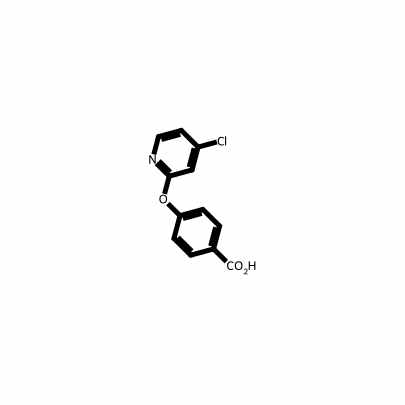 O=C(O)c1ccc(Oc2cc(Cl)ccn2)cc1